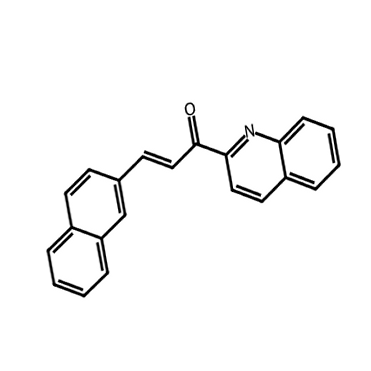 O=C(C=Cc1ccc2ccccc2c1)c1ccc2ccccc2n1